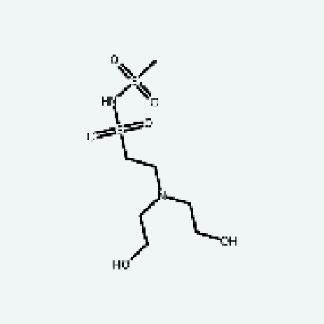 CS(=O)(=O)NS(=O)(=O)CCN(CCO)CCO